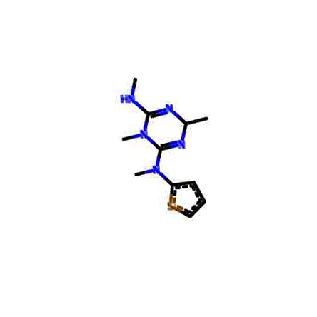 CNC1=NC(C)N=C(N(C)c2cccs2)N1C